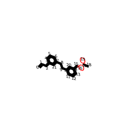 C=CCc1cccc(CCc2cccc(COC(C)=O)c2)c1